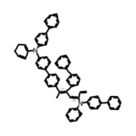 C=C/C(=C\C(=C(/C)c1ccc(-c2ccc(N(C3=CCCC=C3)c3ccc(-c4ccccc4)cc3)cc2)cc1)c1cccc(-c2ccccc2)c1)N(c1ccccc1)c1ccc(-c2ccccc2)cc1